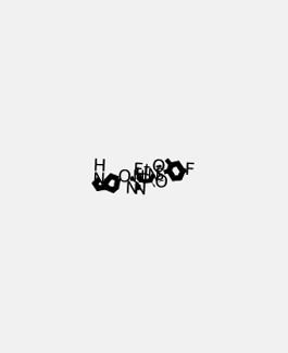 CCn1c(Oc2ccc3cc[nH]c3c2)nnc1[C@@H](C)NS(=O)(=O)c1ccc(F)cc1C